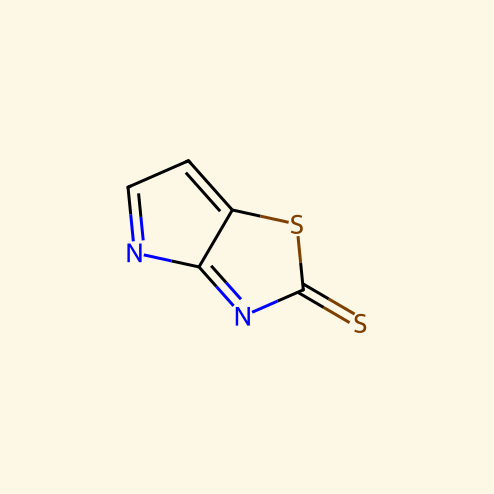 S=C1N=C2N=CC=C2S1